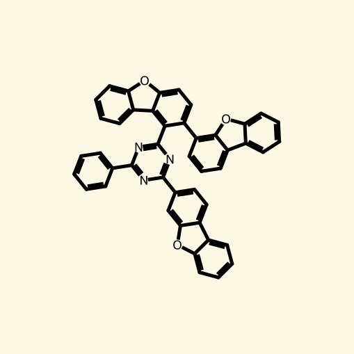 c1ccc(-c2nc(-c3ccc4c(c3)oc3ccccc34)nc(-c3c(-c4cccc5c4oc4ccccc45)ccc4oc5ccccc5c34)n2)cc1